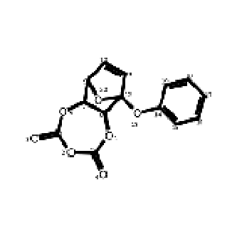 O=C1OC(=O)OC2C(O1)C1C=CC2(Oc2ccccc2)O1